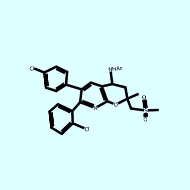 CC(=O)NC1CC(C)(CS(C)(=O)=O)Oc2nc(-c3ccccc3Cl)c(-c3ccc(Cl)cc3)cc21